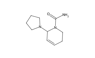 NC(=O)N1CCC=CC1N1CCCC1